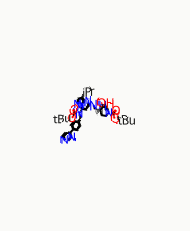 CC(C)c1cnn2c(N(Cc3ccc(-c4ccncn4)cc3)C(=O)OC(C)(C)C)cc(NC[C@H]3CCN(C(=O)OC(C)(C)C)C[C@@H]3O)nc12